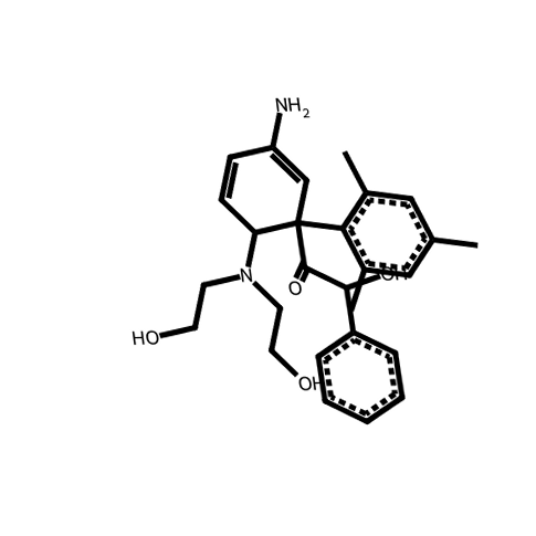 Cc1cc(C)c(C2(C(=O)C(O)c3ccccc3)C=C(N)C=CC2N(CCO)CCO)c(C)c1